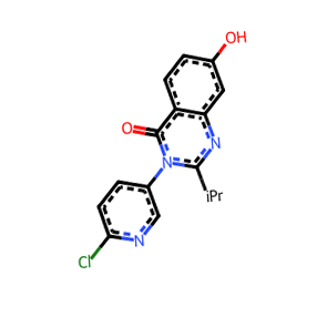 CC(C)c1nc2cc(O)ccc2c(=O)n1-c1ccc(Cl)nc1